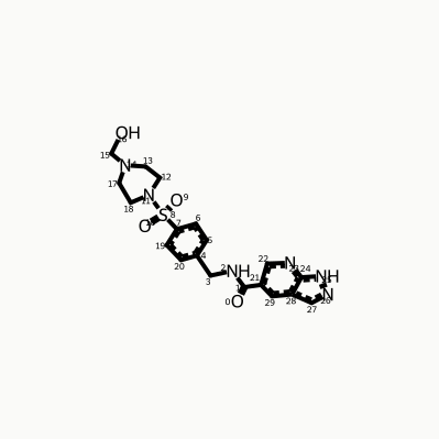 O=C(NCc1ccc(S(=O)(=O)N2CCN(CO)CC2)cc1)c1cnc2[nH]ncc2c1